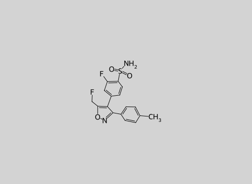 Cc1ccc(-c2noc(CF)c2-c2ccc(S(N)(=O)=O)c(F)c2)cc1